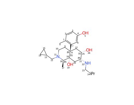 Cc1ccc(O)cc1[C@]12CCN(CC3CC3)[C@H](C)[C@]1(O)C[C@@H](NCC(C)C)[C@@H](O)C2